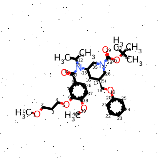 COCCCOc1cc(C(=O)N(C(C)C)C2C[C@H](COc3ccccc3)CN(C(=O)OC(C)(C)C)C2)ccc1OC